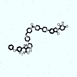 NC(=O)c1c(-c2ccc(Oc3ccccc3)cc2)nn2c1NCC[C@H]2C1CCN(CC2CCN(C(=O)N3CCC(C4CCN(c5ccc6c(c5)CN(C5CCC(=O)NC5=O)C6=O)CC4)CC3)CC2)CC1